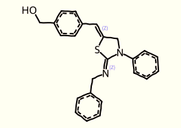 OCc1ccc(/C=C2/CN(c3ccccc3)/C(=N/Cc3ccccc3)S2)cc1